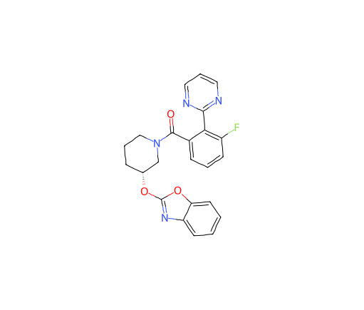 O=C(c1cccc(F)c1-c1ncccn1)N1CCC[C@@H](Oc2nc3ccccc3o2)C1